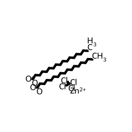 CCCCCCCCCCCCCCCCCC(=O)[O-].CCCCCCCCCCCCCCCCCC(=O)[O-].ClC(Cl)(Cl)Cl.[Zn+2]